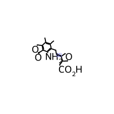 Cc1c(C)c2c(c(N)c1C/C=C1\COCC1CC(=O)O)C(=O)OC2